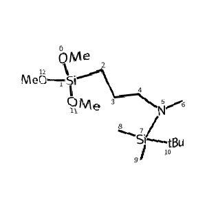 CO[Si](CCCN(C)[Si](C)(C)C(C)(C)C)(OC)OC